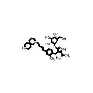 Cc1cc(/C=C/CCN2CCCC3(CCNCC3)C2)ccc1Cc1c(OC2OC(CO)[C@@H](O)C(O)[C@H]2O)n[nH]c1C(C)C